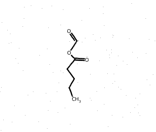 CCCCC(=O)O[C]=O